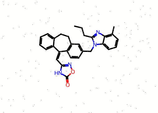 CCCc1nc2c(C)cccc2n1Cc1ccc2c(c1)CCc1ccccc1/C2=C/c1noc(=O)[nH]1